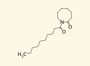 CCCCCCCCCC(=O)N1CCCCCCC1=O